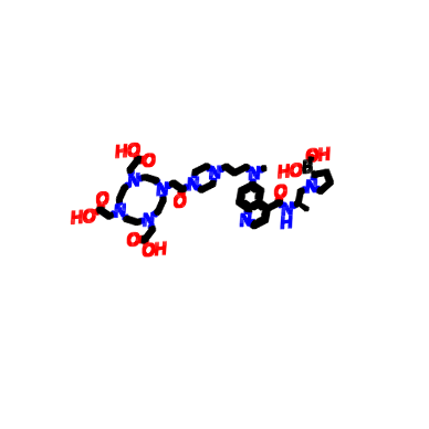 C[C@H](CN1CCC[C@H]1B(O)O)NC(=O)c1ccnc2ccc(N(C)CCCN3CCN(C(=O)CN4CCN(CC(=O)O)CCN(CC(=O)O)CCN(CC(=O)O)CC4)CC3)cc12